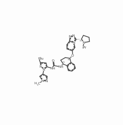 CC(C)N1CCC[C@H]1c1nnc2ccc(O[C@@H]3CC[C@H](NC(=O)Nc4cc(C(C)(C)C)nn4-c4cnn(C)c4)c4ccccc43)cn12